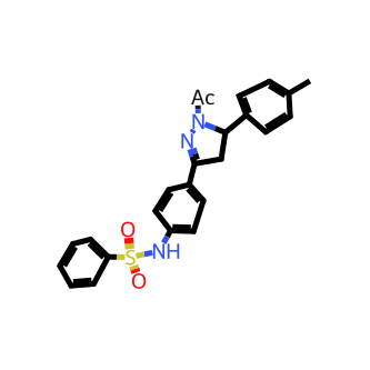 CC(=O)N1N=C(c2ccc(NS(=O)(=O)c3ccccc3)cc2)CC1c1ccc(C)cc1